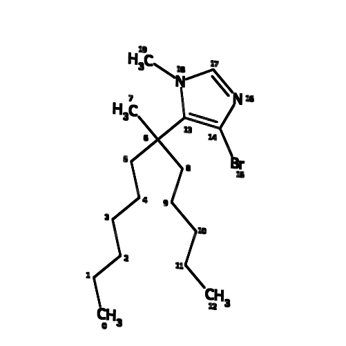 CCCCCCC(C)(CCCCC)c1c(Br)ncn1C